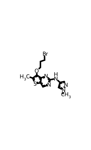 Cc1sc2cnc(Nc3cnn(C)c3)nc2c1OCCCBr